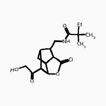 CCC(C)(C)C(=O)NCC1C2CC3C(OC(=O)C13)C2C(=O)CO